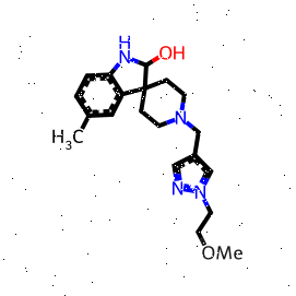 COCCn1cc(CN2CCC3(CC2)c2cc(C)ccc2NC3O)cn1